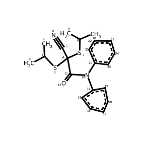 CC(C)SC(C#N)(SC(C)C)C(=O)N(c1ccccc1)c1ccccc1